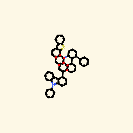 c1ccc(-c2ccccc2-c2c(-c3ccccc3)cccc2N(c2ccc(-c3cccc4c3c3ccccc3n4-c3ccccc3)cc2)c2cccc3c2sc2ccccc23)cc1